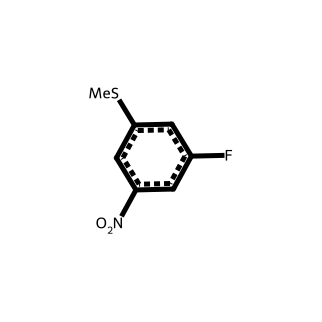 CSc1cc(F)cc([N+](=O)[O-])c1